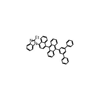 CCc1nc2ccccc2n1-c1ccc(-c2c3ccccc3c(-c3cc(-c4ccccc4)cc(-c4ccccc4)c3)c3ccccc23)c2ccccc12